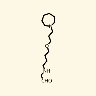 O=CCNCCCCOCCCN1CCCCCC1